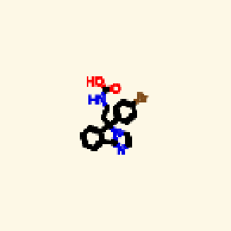 O=C(O)NCCC1(c2ccc(Br)cc2)c2ccccc2-c2nccn21